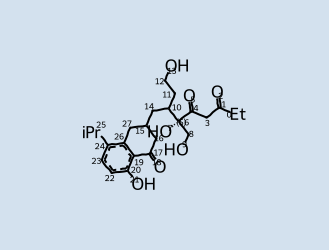 CCC(=O)CC(=O)[C@@](O)(CO)C(CCO)CC1CC(=O)c2c(O)ccc(C(C)C)c2C1